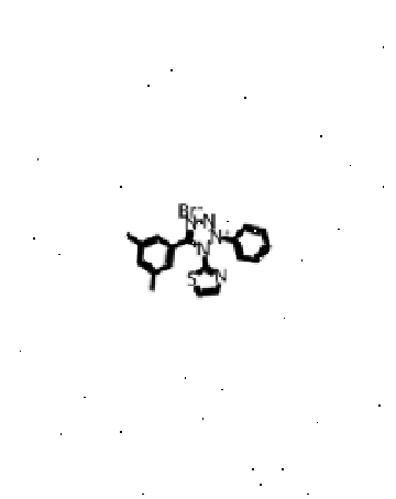 Cc1cc(C)cc(-c2nn[n+](-c3ccccc3)n2-c2nccs2)c1.[Br-]